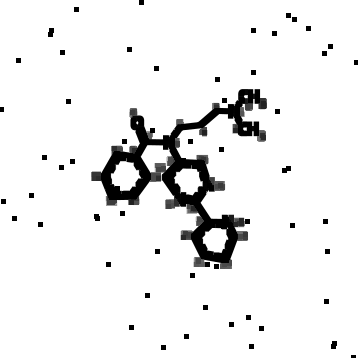 CN(C)CCCN(C(=O)c1ccccc1)c1cnc(-c2ccccn2)nc1